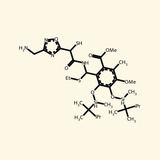 CCSC(NC(=O)C(S)c1nc(CN)no1)c1c(O[SiH](C)C(C)(C)C(C)C)c(O[SiH](C)C(C)(C)C(C)C)c(OC)c(C)c1C(=O)OC